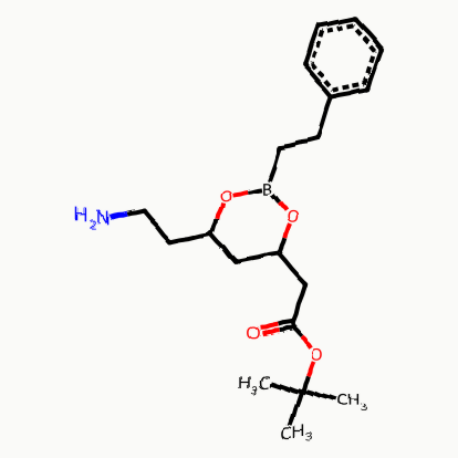 CC(C)(C)OC(=O)CC1CC(CCN)OB(CCc2ccccc2)O1